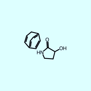 C1=Cc2ccc(cc2)C1.O=C1NCCC1O